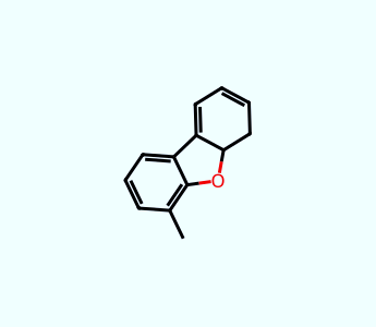 Cc1cccc2c1OC1CC=CC=C21